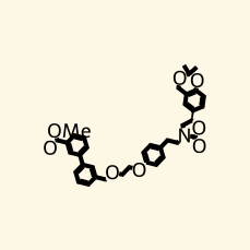 COC(=O)c1cccc(-c2cccc(COCCOc3ccc(CCN4C[C@@H](c5ccc6c(c5)COC(C)(C)O6)OC4=O)cc3)c2)c1